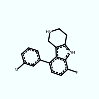 Fc1ccc(-c2cccc(Cl)c2)c2c3c([nH]c12)CCNC3